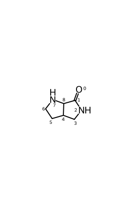 O=C1NCC2CCNC12